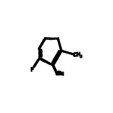 CC1=C(C(C)(C)C)C(F)=CCC1